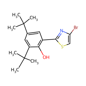 CC(C)(C)c1cc(-c2nc(Br)cs2)c(O)c(C(C)(C)C)c1